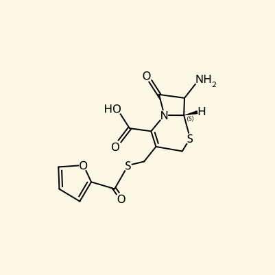 NC1C(=O)N2C(C(=O)O)=C(CSC(=O)c3ccco3)CS[C@@H]12